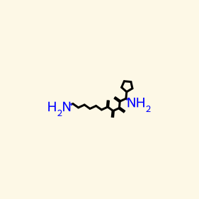 C=C(CCCCCCN)C(=C)C(=C)C(=C)C(N)C1CCCC1